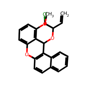 C=CC(CCl)OC1c2c(OC)cccc2Oc2ccc3ccccc3c21